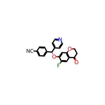 N#Cc1ccc([C@@H](Oc2cc3c(cc2F)C(=O)CCO3)c2ccncc2)cc1